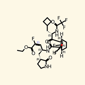 CCOC(=O)/C(F)=C\[C@H](C[C@H]1CCNC1=O)NC(=O)[C@H]1[C@H]2CC[C@H](CC2(F)F)N1C(=O)[C@H](CC1CCC1)NC(=O)C(F)(F)F